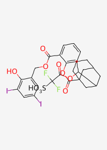 O=C(OCc1cc(I)cc(I)c1O)c1ccccc1OC(=O)C12CC3CC(C1)C(OC(=O)C(F)(F)S(=O)(=O)O)C(C3)C2